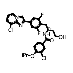 CC(C)Oc1ccc(C(=O)N[C@H](CCO)Cc2c(F)cc(-c3cn4cccc(Cl)c4n3)cc2F)cc1Cl